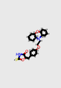 O=C1NC(=S)OC1=Cc1ccc(OCCN2c3ccccc3Oc3ccccc32)cc1